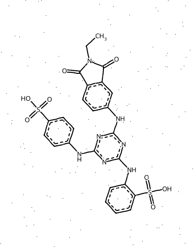 CCN1C(=O)c2ccc(Nc3nc(Nc4ccc(S(=O)(=O)O)cc4)nc(Nc4ccccc4S(=O)(=O)O)n3)cc2C1=O